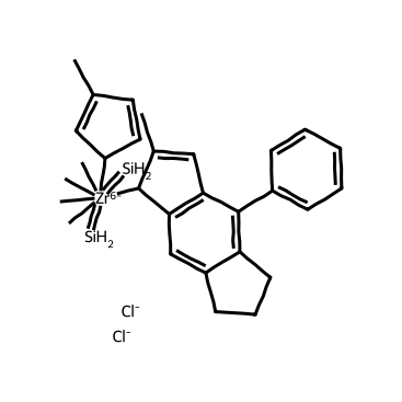 CC1=C[CH]([Zr-6]([CH3])([CH3])([CH3])([CH3])(=[SiH2])(=[SiH2])[CH]2C(C)=Cc3c2cc2c(c3-c3ccccc3)CCC2)C=C1.[Cl-].[Cl-]